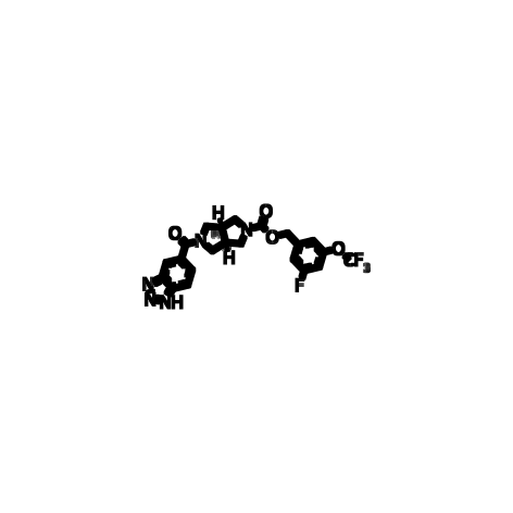 O=C(OCc1cc(F)cc(OC(F)(F)F)c1)N1C[C@@H]2CN(C(=O)c3ccc4[nH]nnc4c3)C[C@@H]2C1